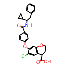 O=C(NC(Cc1ccccc1)C1CC1)c1ccc(Oc2cc3c(cc2Cl)C(C(=O)O)CCO3)cc1